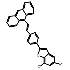 Clc1cc(Cl)c2oc(-c3ccc(C=Cc4c5ccccc5cc5ccccc45)cc3)cc2c1